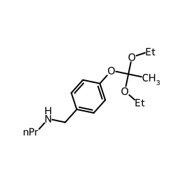 CCCNCc1ccc(OC(C)(OCC)OCC)cc1